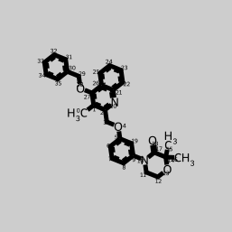 Cc1c(COc2cccc(N3CCOC(C)(C)C3=O)c2)nc2ccccc2c1OCc1ccccc1